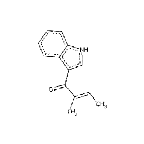 CC=C(C)C(=O)c1c[nH]c2ccccc12